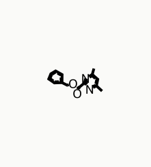 Cc1cc(C)nc(C(=O)OCc2ccccc2)n1